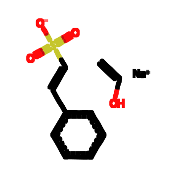 C=CO.O=S(=O)([O-])C=Cc1ccccc1.[Na+]